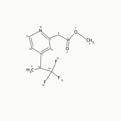 COC(=O)Cc1cc(C(C)C(F)(F)F)ccn1